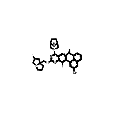 CC(O)c1cccc2cc(O)cc(-c3c(F)cc4c(N5CC6CCC(C5)N6)nc(OCC56CCCN5CC(F)C6)nc4c3F)c12